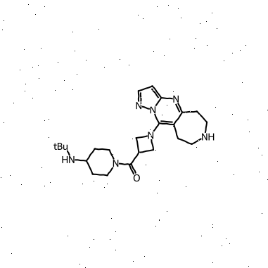 CC(C)(C)NC1CCN(C(=O)C2CN(c3c4c(nc5ccnn35)CCNCC4)C2)CC1